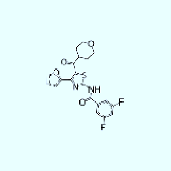 O=C(Nc1nc(-c2ccco2)c(C(=O)C2CCOCC2)s1)c1cc(F)cc(F)c1